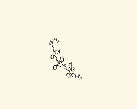 COCCCCNC(=O)CCN1C(=O)CC(SCC(N)C(C)=O)C1=O